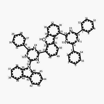 c1ccc(-c2nc(-c3ccccc3)nc(-c3cccc4oc5c(-c6nc(-c7ccccc7)nc(-n7c8ccccc8c8ccccc87)n6)cccc5c34)n2)cc1